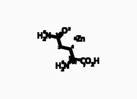 NC(=O)CC[C@H](N)C(=O)O.[Zn]